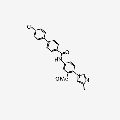 COc1cc(NC(=O)c2ccc(-c3ccc(Cl)cc3)cc2)ccc1-n1cnc(C)c1